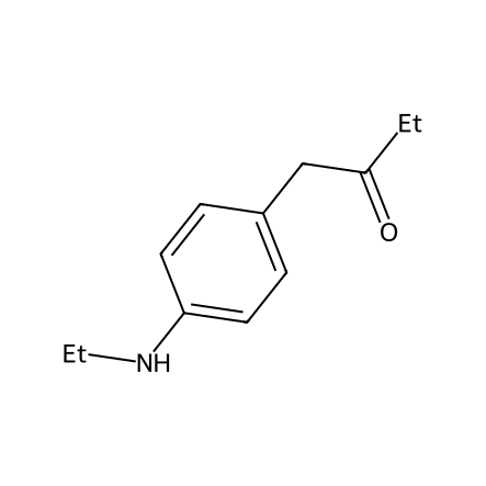 CCNc1ccc(CC(=O)CC)cc1